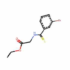 CCOC(=O)CNC(=S)c1cccc(Br)c1